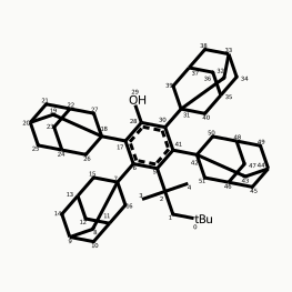 CC(C)(C)CC(C)(C)c1c(C23CC4CC(CC(C4)C2)C3)c(C23CC4CC(CC(C4)C2)C3)c(O)c(C23CC4CC(CC(C4)C2)C3)c1C12CC3CC(CC(C3)C1)C2